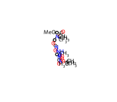 COc1ccc(C2(CCN(Cc3ccc(OC4CCN(CC(=O)Nc5cccc6c5n(C)c(=O)n6C5CCC(=O)N(COCC[Si](C)(C)C)C5=O)CC4)cc3)CC(C)(C)C(F)(F)F)CCOCC2)cc1